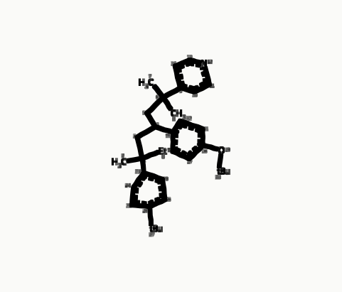 CCC(C)(CC(CC(C)(C)c1ccncc1)c1ccc(OC(C)(C)C)cc1)c1ccc(C(C)(C)C)cc1